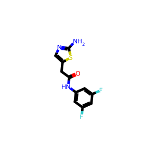 Nc1ncc(CC(=O)Nc2cc(F)cc(F)c2)s1